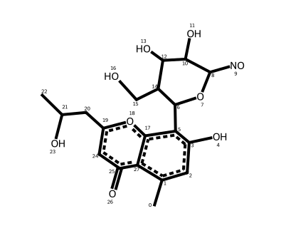 Cc1cc(O)c(C2OC(N=O)C(O)C(O)C2CO)c2oc(CC(C)O)cc(=O)c12